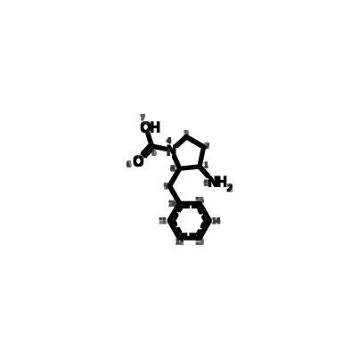 NC1CCN(C(=O)O)C1Cc1ccccc1